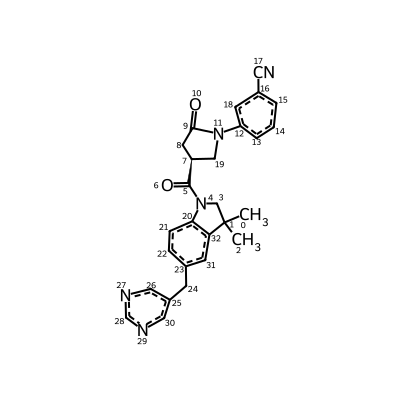 CC1(C)CN(C(=O)[C@H]2CC(=O)N(c3cccc(C#N)c3)C2)c2ccc(Cc3cncnc3)cc21